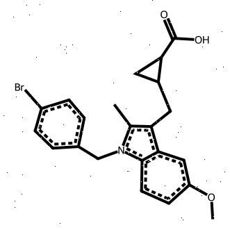 COc1ccc2c(c1)c(CC1CC1C(=O)O)c(C)n2Cc1ccc(Br)cc1